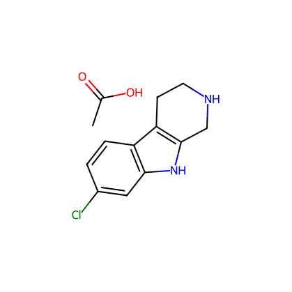 CC(=O)O.Clc1ccc2c3c([nH]c2c1)CNCC3